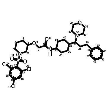 O=C(COC1CCCN(S(=O)(=O)c2c(Cl)cc(Cl)cc2Cl)C1)NC1CCC(C(CCc2ccccc2)N2CCOCC2)CC1